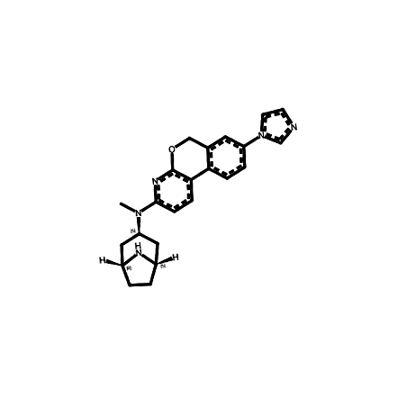 CN(c1ccc2c(n1)OCc1cc(-n3ccnc3)ccc1-2)[C@@H]1C[C@H]2CC[C@@H](C1)N2